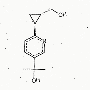 CC(C)(O)c1ccc([C@H]2C[C@@H]2CO)nc1